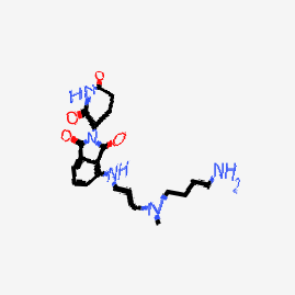 CN(CCCCN)CCCNc1cccc2c1C(=O)N(C1CCC(=O)NC1=O)C2=O